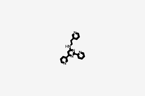 c1ccc(-c2nc(NCCc3cccnc3)cc(-c3cccnc3)n2)nc1